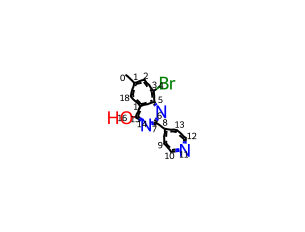 Cc1cc(Br)c2nc(-c3ccncc3)nc(O)c2c1